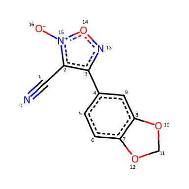 N#Cc1c(-c2ccc3c(c2)OCO3)no[n+]1[O-]